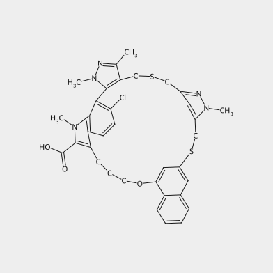 Cc1nn(C)c2c1CSCc1cc(n(C)n1)CSc1cc(c3ccccc3c1)OCCCc1c(C(=O)O)n(C)c3c-2c(Cl)ccc13